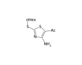 CCCCCCSc1nc(N)c(C(C)=O)s1